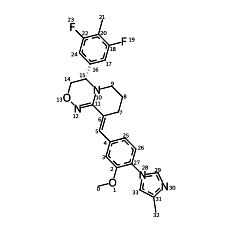 COc1cc(/C=C2\CCCN3C2=NOC[C@@H]3c2cc(F)c(C)c(F)c2)ccc1-n1cnc(C)c1